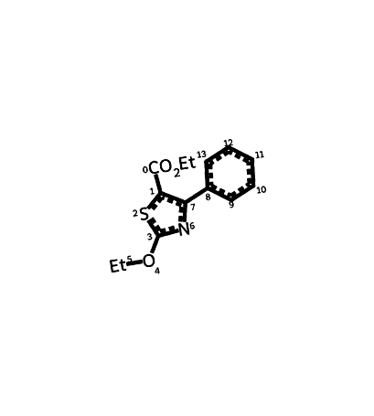 CCOC(=O)c1sc(OCC)nc1-c1ccccc1